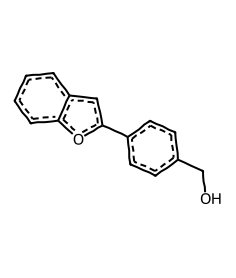 OCc1ccc(-c2cc3ccccc3o2)cc1